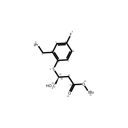 CC(C)Cc1cc(F)ccc1S[C@@H](CC(=O)OC(C)(C)C)C(=O)O